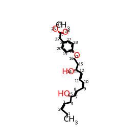 CC/C=C\C[C@H](O)/C=C/C=C\C=C\[C@@H](O)CCOc1ccc(CC(=O)OC)cc1